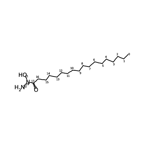 CCCCCCCCCCCCCCCCCC(=O)N(N)O